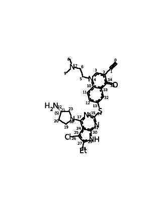 C#Cc1cn(CCN(C)C)c2ccc(Sc3nc(N4CC[C@H](N)C4)c4c(Cl)c(CC)[nH]c4n3)cc2c1=O